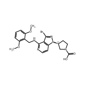 COc1cccc(OC)c1CNc1nccc2c1c(Br)nn2[C@H]1CCN(C(=O)O)C1